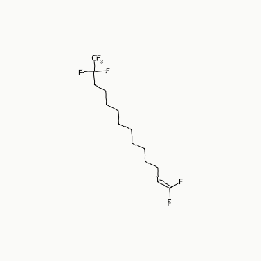 FC(F)=CCCCCCCCCCCC(F)(F)C(F)(F)F